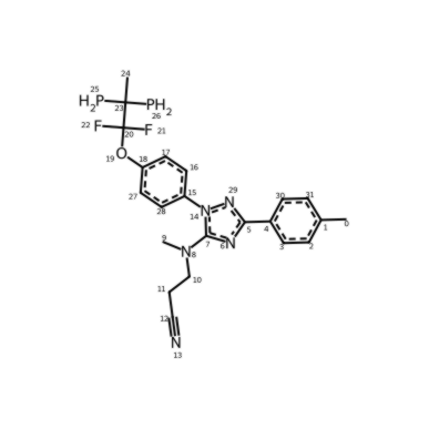 Cc1ccc(-c2nc(N(C)CCC#N)n(-c3ccc(OC(F)(F)C(C)(P)P)cc3)n2)cc1